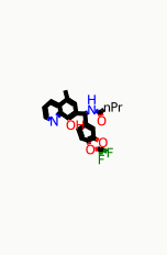 CCCC(=O)NC(c1ccc2c(c1)OC(F)(F)O2)c1cc(C)c2cccnc2c1O